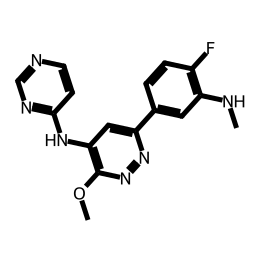 CNc1cc(-c2cc(Nc3ccncn3)c(OC)nn2)ccc1F